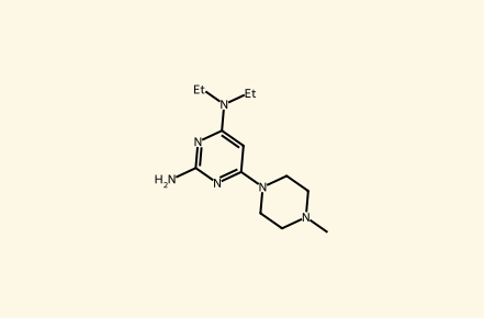 CCN(CC)c1cc(N2CCN(C)CC2)nc(N)n1